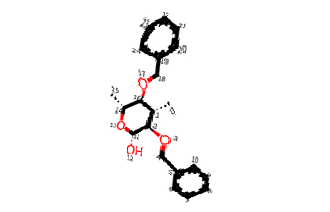 C[C@@H]1[C@@H](OCc2ccccc2)[C@H](O)O[C@H](C)[C@H]1OCc1ccccc1